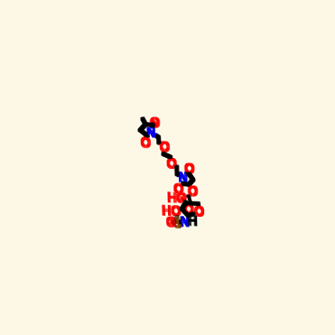 CC1CC(=O)N(CCOCCOCCN2C(=O)CC(OC[C@@]34CO[C@@H](O3)[C@@H](N=S(C)(C)=O)[C@@H](O)[C@H]4O)C2=O)C1=O